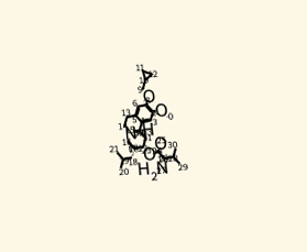 COc1cc2c(cc1OCC1CC1)CCN1C[C@@H](CC(C)C)C(OC(=O)[C@@H](N)C(C)C)C[C@H]21